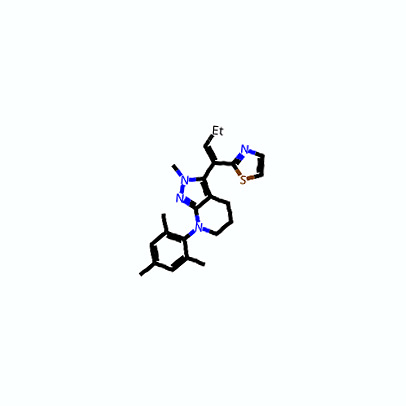 CCC=C(c1nccs1)c1c2c(nn1C)N(c1c(C)cc(C)cc1C)CCC2